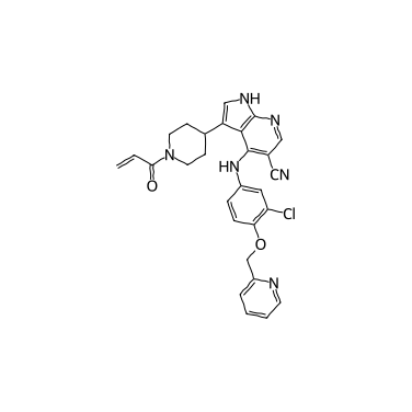 C=CC(=O)N1CCC(c2c[nH]c3ncc(C#N)c(Nc4ccc(OCc5ccccn5)c(Cl)c4)c23)CC1